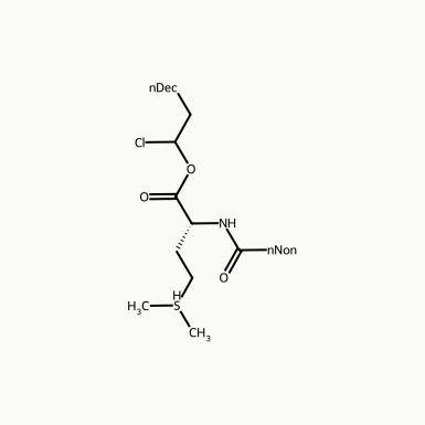 CCCCCCCCCCCC(Cl)OC(=O)[C@@H](CC[SH](C)C)NC(=O)CCCCCCCCC